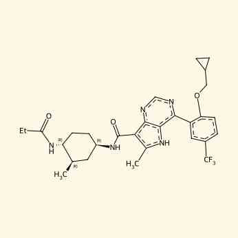 CCC(=O)N[C@@H]1CC[C@@H](NC(=O)c2c(C)[nH]c3c(-c4cc(C(F)(F)F)ccc4OCC4CC4)ncnc23)C[C@H]1C